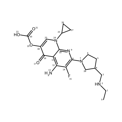 CCNCC1CCN(c2nc3c(c(N)c2F)c(=O)c(OC(=O)O)cn3C2CC2)C1